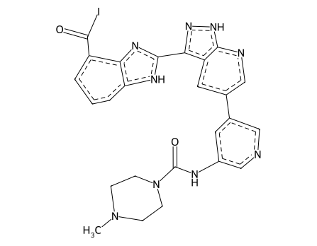 CN1CCN(C(=O)Nc2cncc(-c3cnc4[nH]nc(-c5nc6c(C(=O)I)cccc6[nH]5)c4c3)c2)CC1